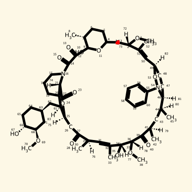 CO[C@H]1C[C@@H]2CC[C@@H](C)[C@@](O)(O2)C(=O)C(=O)N2CCCC3[C@H]2C(=O)O[C@@H](CC(=O)[C@H](C)/C=C(\C)[C@@H](O)[C@@H](OC)C(=O)[C@H](C)C[C@H](C)[C@@H]2CC[C@H](/C=C/1C)ON2c1ccccc1)[C@H]3C[C@@H]1CC[C@@H](O)[C@H](OC)C1